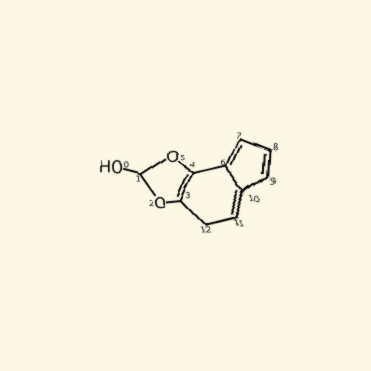 OC1OC2=C(O1)C1=CC=CC1=CC2